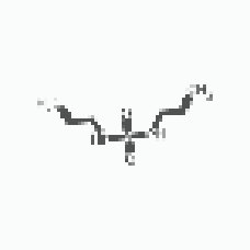 C=CCPS(=O)(=O)PCC=C